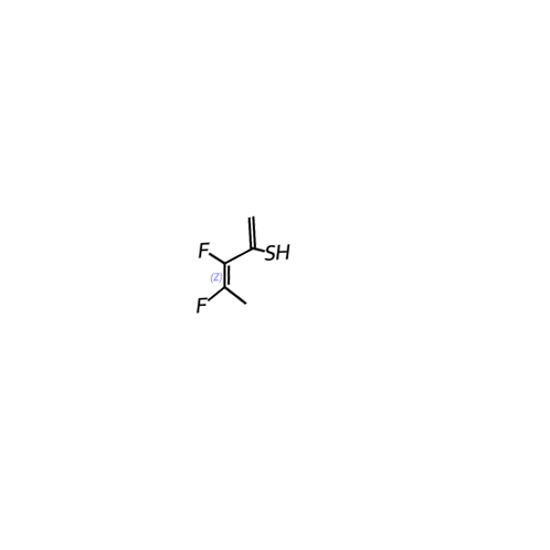 C=C(S)/C(F)=C(\C)F